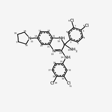 NC1(c2ccc(Cl)c(Cl)c2)Nc2ccc(N3CCCC3)cc2N=C1Nc1ccc(Cl)c(Cl)c1